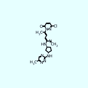 C=N/C(=C\C=C(/C)n1nc(Cl)ccc1=O)N[C@H]1CC[C@H](Nc2ncc(C)nn2)C1